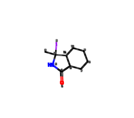 CC1(I)NC(=O)C2CCCCC21